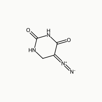 [N-]=[N+]=C1CNC(=O)NC1=O